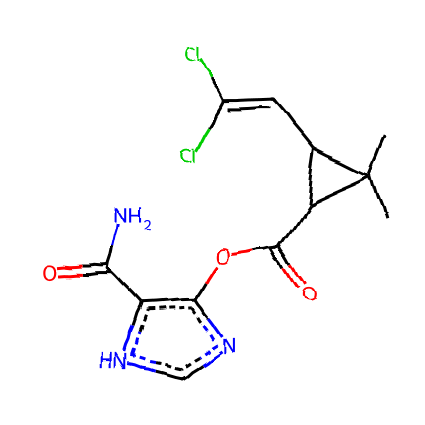 CC1(C)C(C=C(Cl)Cl)C1C(=O)Oc1nc[nH]c1C(N)=O